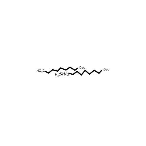 CCCCCCCCCC.CCCCCCCCCCCCCCCCCC(=O)O.CCCCCCCCCCCCCCCCCC(=O)O